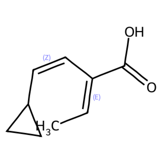 C/C=C(\C=C/C1CC1)C(=O)O